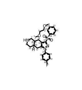 COCCOC[C@@]12CNCC[C@H]1Cc1c(c(S(=O)(=O)c3ccccc3)nn1-c1ccc(F)cc1)C2